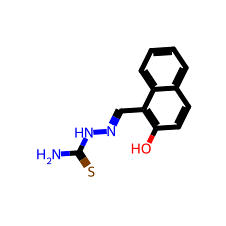 NC(=S)NN=Cc1c(O)ccc2ccccc12